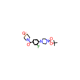 CC(C)(C)OC(=O)N1CCN(c2ccc(C(=O)N3CC[S+]([O-])CC3)cc2F)CC1